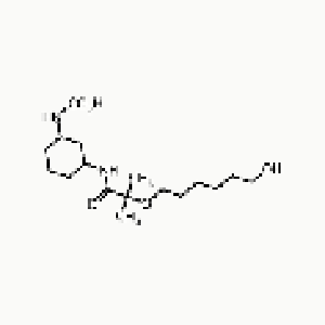 CC(C)(OCCCCCCO)C(=O)NC1CCCC(NC(=O)O)C1